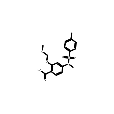 COCOc1cc(N(C)S(=O)(=O)c2ccc(C)cc2)ccc1C(=O)O